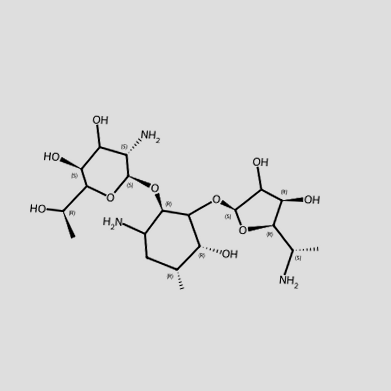 C[C@H](N)[C@H]1O[C@@H](OC2[C@H](O[C@H]3OC([C@@H](C)O)[C@@H](O)C(O)[C@@H]3N)C(N)C[C@@H](C)[C@H]2O)C(O)[C@H]1O